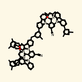 Cc1cc(C)cc(-c2ccc3c(c2)c2ccccc2n3-c2cc(C#N)cc(-n3c4ccc(Cc5cc(C)cc(-c6ccc7c8ccccc8n(-c8cc(C#N)cc(-n9c%10ccccc%10c%10ccc(-c%11cc(C)cc(C)c%11)cc%109)c8-c8nc(C)cc(C)n8)c7c6)c5)cc4c4cc(-c5cc(C)cc(C)c5)ccc43)c2-c2nc(-c3ccccc3)cc(-c3ccccc3)n2)c1